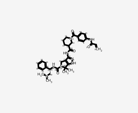 C=CC(=O)Nc1ccc(C(=O)N2CCCC(C(=O)Nc3n[nH]c4c3CN(C(=O)N[C@H](CN(C)C)c3ccccc3)C4(C)C)C2)cc1